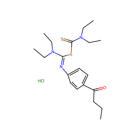 CCCC(=O)c1ccc(N=C(SC(=S)N(CC)CC)N(CC)CC)cc1.Cl